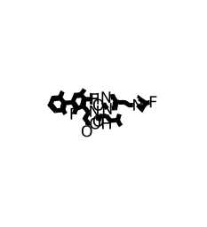 Cc1cc(-c2c(C)cccc2C)c(F)c(C(CC(=O)O)NC(=O)C(CC(C)C)n2cc(CCN3CC(F)C3)cnc2=O)c1F